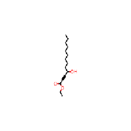 CCCCCCCCCC(O)C#CC(=O)OCC